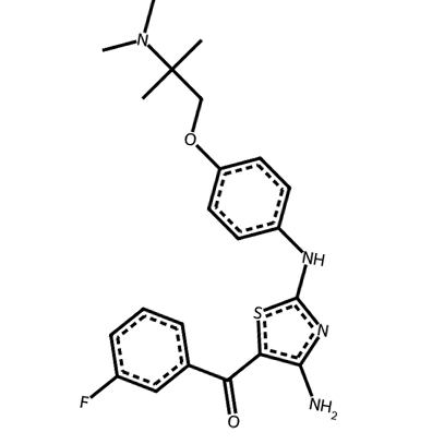 CN(C)C(C)(C)COc1ccc(Nc2nc(N)c(C(=O)c3cccc(F)c3)s2)cc1